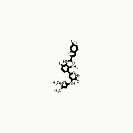 Cc1c(-c2cc(Nc3cc(C)n(C)n3)c(=O)[nH]n2)ccc(F)c1NC(=O)c1cc2ccc(C(F)(F)F)cc2s1